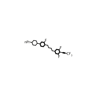 CCCC1CCC(c2ccc(CCCCc3cc(F)c(C#CC(F)(F)F)c(F)c3)c(F)c2)CC1